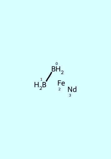 BB.[Fe].[Nd]